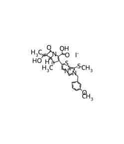 COc1cccc(Cn2c[n+]3cc(C4=C(C(=O)O)N5C(=O)[C@H]([C@@H](C)O)[C@H]5[C@H]4C)sc3c2SC)c1.[I-]